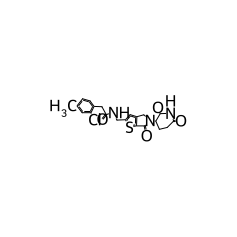 Cc1ccc(CC(=O)NCc2cc3c(s2)C(=O)N(C2CCC(=O)NC2=O)C3)c(Cl)c1